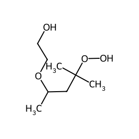 CC(CC(C)(C)OO)OCCO